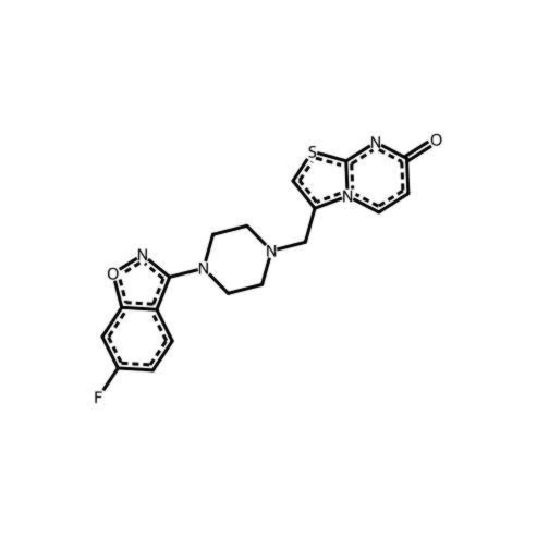 O=c1ccn2c(CN3CCN(c4noc5cc(F)ccc45)CC3)csc2n1